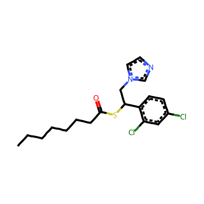 CCCCCCCC(=O)SC(Cn1ccnc1)c1ccc(Cl)cc1Cl